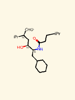 CC(C)CCC(=O)N[C@@H](CC1CCCCC1)[C@@H](O)C[C@H]([C]=O)C(C)C